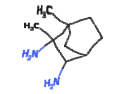 CC12CCC(C1)C(N)C2(C)N